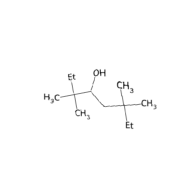 CCC(C)(C)CC(O)C(C)(C)CC